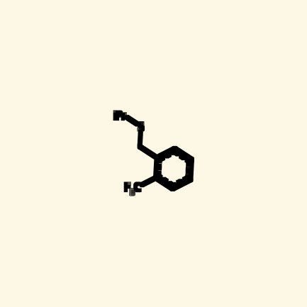 CC(C)SCc1ccccc1C(F)(F)F